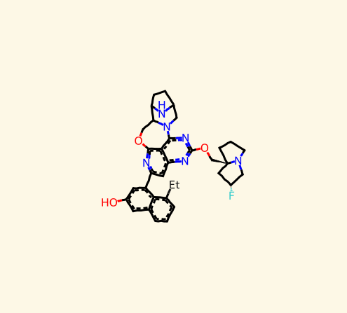 CCc1cccc2cc(O)cc(-c3cc4nc(OC[C@@]56CCCN5C[C@H](F)C6)nc5c4c(n3)OCC3C4CCC(CN53)N4)c12